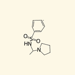 CC(NS(=O)(=O)c1cc[c]cc1)N1CCCC1